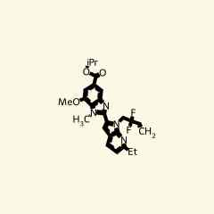 C=CC(F)(F)Cn1c(-c2nc3cc(C(=O)OC(C)C)cc(OC)c3n2C)cc2ccc(CC)nc21